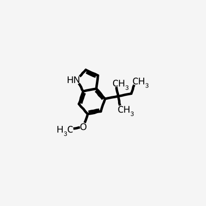 CCC(C)(C)c1cc(OC)cc2[nH]ccc12